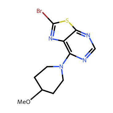 COC1CCN(c2ncnc3sc(Br)nc23)CC1